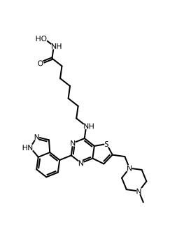 CN1CCN(Cc2cc3nc(-c4cccc5[nH]ncc45)nc(NCCCCCCC(=O)NO)c3s2)CC1